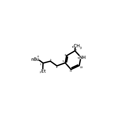 CCCCC(CC)CCC1=CC(C)NC=C1